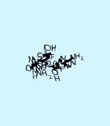 Nc1nc2c(ncn2[C@@H]2S[C@@](CO)(CF)C[C@H]2P(=O)(S)OC[C@H]2O[C@@H](n3cnc4c(N)ncnc43)[C@@H](F)[C@@H]2O)c(=O)[nH]1